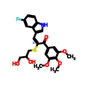 COc1cc(C(=O)/C(=C\c2c[nH]c3ccc(F)cc23)SCC(O)CO)cc(OC)c1OC